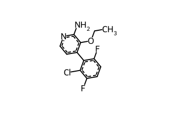 CCOc1c(-c2c(F)ccc(F)c2Cl)ccnc1N